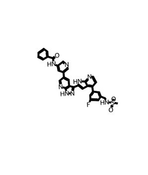 CS(=O)(=O)NCc1cc(F)cc(-c2ccnc3[nH]c(-c4n[nH]c5ncc(-c6cncc(NC(=O)c7ccccc7)c6)cc45)cc23)c1